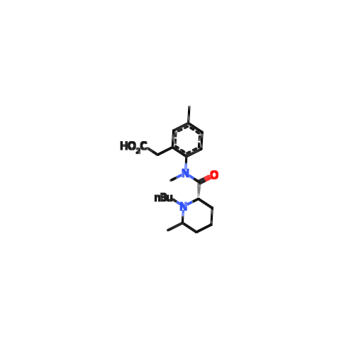 CCCCN1C(C)CCC[C@H]1C(=O)N(C)c1ccc(C)cc1CC(=O)O